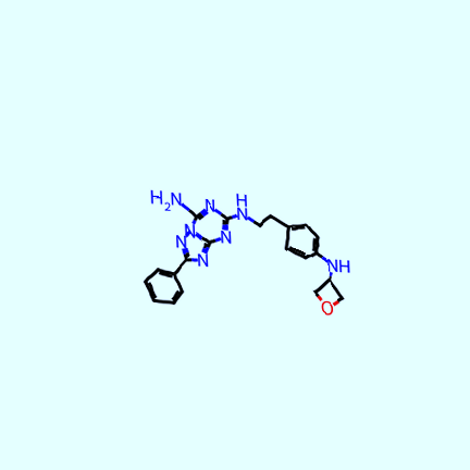 Nc1nc(NCCc2ccc(NC3COC3)cc2)nc2nc(-c3ccccc3)nn12